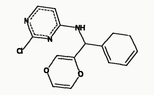 Clc1nccc(NC(C2=CC=CCC2)C2=COC=CO2)n1